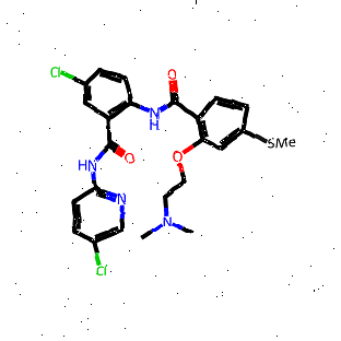 CSc1ccc(C(=O)Nc2ccc(Cl)cc2C(=O)Nc2ccc(Cl)cn2)c(OCCN(C)C)c1